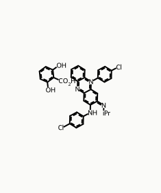 CC(C)N=c1cc2n(-c3ccc(Cl)cc3)c3ccccc3nc-2cc1Nc1ccc(Cl)cc1.O=C(O)c1c(O)cccc1O